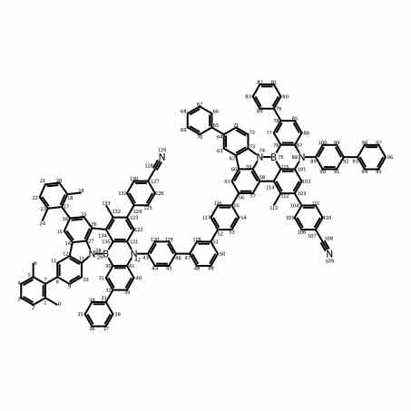 Cc1cccc(C)c1-c1ccc2c(c1)c1cc(-c3c(C)cccc3C)cc3c1n2B1c2cc(-c4ccccc4)ccc2N(c2ccc(-c4cccc(-c5ccc(-c6cc7c8c(c6)c6cc(-c9ccccc9)ccc6n8B6c8cc(-c9ccccc9)ccc8N(c8ccc(-c9ccccc9)cc8)c8cc(-c9ccc(C#N)cc9)c(C)c-7c86)cc5)c4)cc2)c2cc(-c4ccc(C#N)cc4)c(C)c-3c21